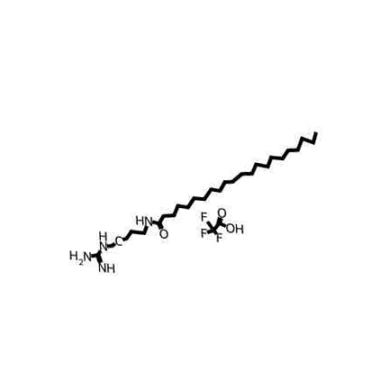 CCCCCCCCCCCCCCCCCCCCCC(=O)NCCCCCNC(=N)N.O=C(O)C(F)(F)F